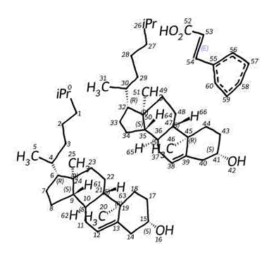 CC(C)CCCC(C)[C@H]1CC[C@H]2[C@@H]3CC=C4C[C@@H](O)CC[C@]4(C)[C@H]3CC[C@]12C.CC(C)CCCC(C)[C@H]1CC[C@H]2[C@@H]3CC=C4C[C@@H](O)CC[C@]4(C)[C@H]3CC[C@]12C.O=C(O)/C=C/c1ccccc1